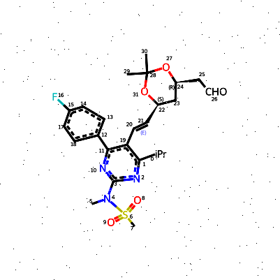 CC(C)c1nc(N(C)S(C)(=O)=O)nc(-c2ccc(F)cc2)c1/C=C/[C@@H]1C[C@H](CC=O)OC(C)(C)O1